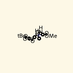 COC(=O)c1ccc2c(c1)NC(=O)/C2=C(\Nc1ccc(C(=O)N2CCN(C(=O)OC(C)(C)C)CC2)cc1)c1ccccc1